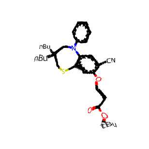 CCCCC1(CCCC)CSc2cc(O/C=C/C(=O)OC(C)(C)C)c(C#N)cc2N(c2ccccc2)C1